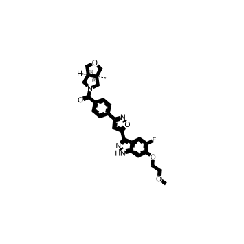 COCCOc1cc2[nH]nc(-c3cc(-c4ccc(C(=O)N5C[C@H]6COC[C@@]6(C)C5)cc4)no3)c2cc1F